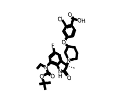 CCN(C(=O)OC(C)(C)C)c1cc(F)cc2c1NC(=O)[C@]2(C)N1CCCC(Oc2ccc(C(=O)O)c(Cl)c2)C1